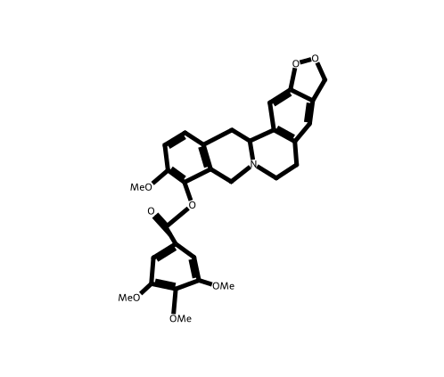 COc1cc(C(=O)Oc2c(OC)ccc3c2CN2CCc4cc5c(cc4C2C3)OOC5)cc(OC)c1OC